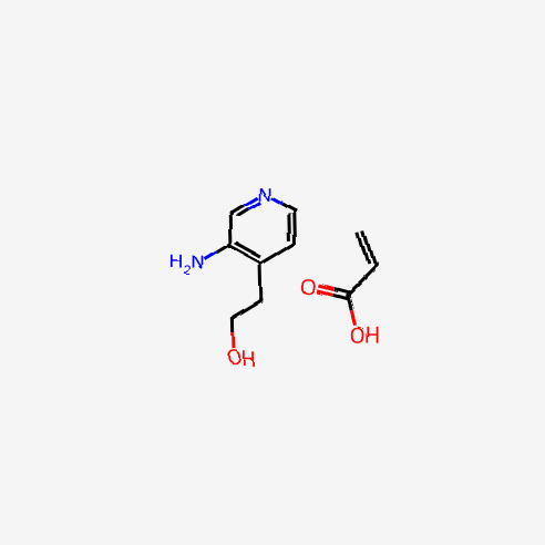 C=CC(=O)O.Nc1cnccc1CCO